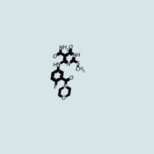 CSc1nc(Nc2ccc(F)c(C(=O)N3CCOCC3)c2)c(C(N)=O)c(=O)[nH]1